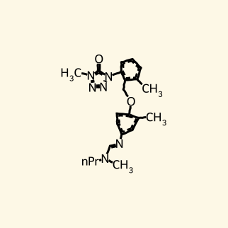 CCCN(C)/C=N/c1ccc(OCc2c(C)cccc2-n2nnn(C)c2=O)c(C)c1